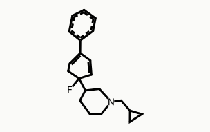 FC1(C2CCCN(CC3CC3)C2)C=CC(c2ccccc2)=CC1